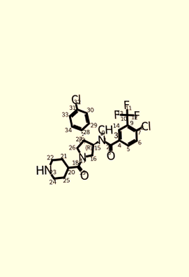 CN(C(=O)c1ccc(Cl)c(C(F)(F)F)c1)[C@H]1CN(C(=O)C2CCNCC2)C[C@@H]1c1ccc(Cl)cc1